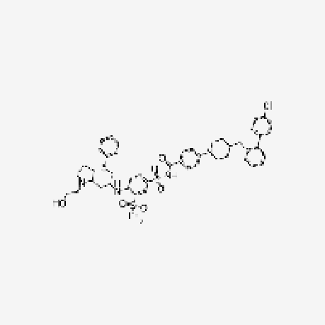 O=C(NS(=O)(=O)c1ccc(N[C@@H](CSc2ccccc2)CC2CCCN2CCO)c(S(=O)(=O)C(F)(F)F)c1)c1ccc(N2CCC(Cc3ccccc3-c3ccc(Cl)cc3)CC2)cc1